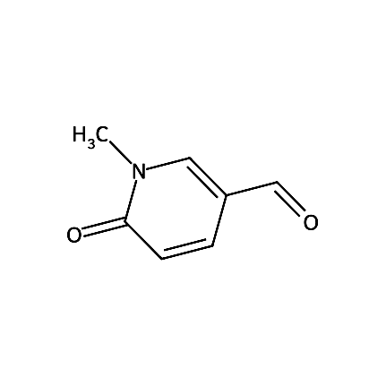 Cn1cc(C=O)ccc1=O